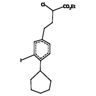 CCOC(=O)C(Cl)CCc1ccc(C2CCCCC2)c(I)c1